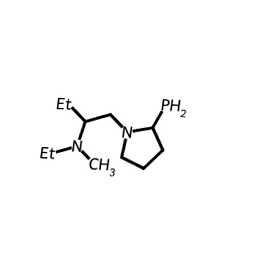 CCC(CN1CCCC1P)N(C)CC